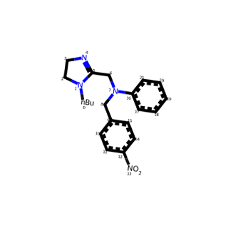 CCCCN1CCN=C1CN(Cc1ccc([N+](=O)[O-])cc1)c1ccccc1